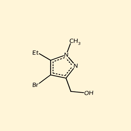 CCc1c(Br)c(CO)nn1C